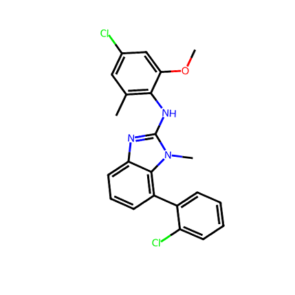 COc1cc(Cl)cc(C)c1Nc1nc2cccc(-c3ccccc3Cl)c2n1C